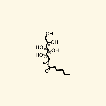 CCCCCC(=O)N(C)C[C@H](O)[C@@H](O)[C@H](O)[C@H](O)CO